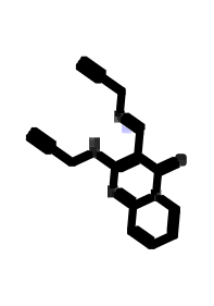 C#CC/N=C/c1c(NCC#C)nc2ccccn2c1=O